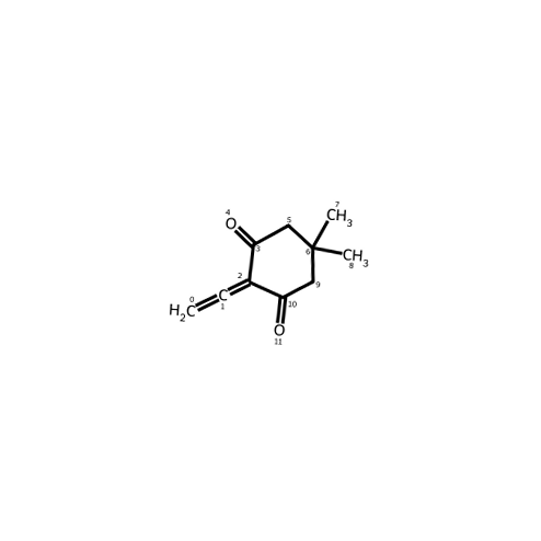 C=C=C1C(=O)CC(C)(C)CC1=O